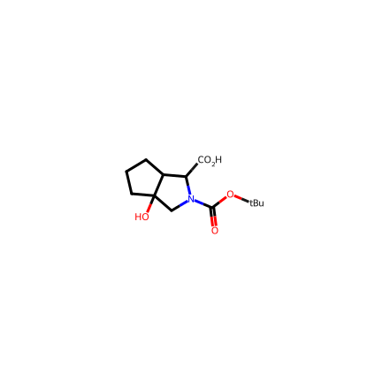 CC(C)(C)OC(=O)N1CC2(O)CCCC2C1C(=O)O